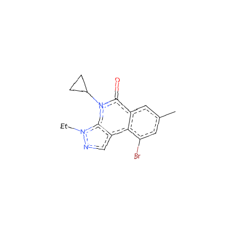 CCn1ncc2c3c(Br)cc(C)cc3c(=O)n(C3CC3)c21